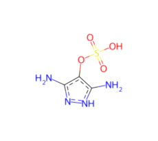 Nc1n[nH]c(N)c1OS(=O)(=O)O